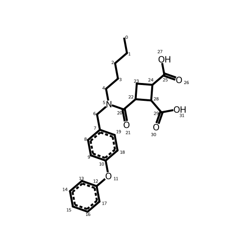 CCCCCN(Cc1ccc(Oc2ccccc2)cc1)C(=O)C1CC(C(=O)O)C1C(=O)O